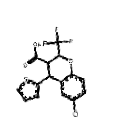 O=C(O)C1C(c2cccs2)c2cc(Cl)ccc2OC1C(F)(F)F